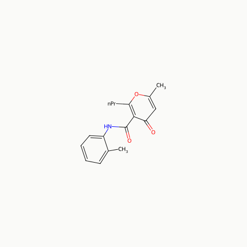 CCCc1oc(C)cc(=O)c1C(=O)Nc1ccccc1C